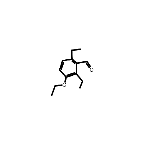 CCOc1ccc(CC)c(C=O)c1CC